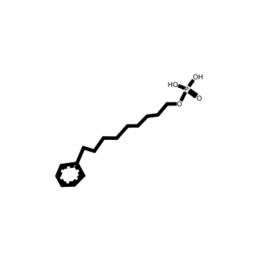 O=P(O)(O)OCCCCCCCCCc1ccccc1